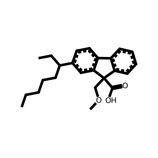 CCCCCC(CC)c1ccc2c(c1)C(COC)(C(=O)O)c1ccccc1-2